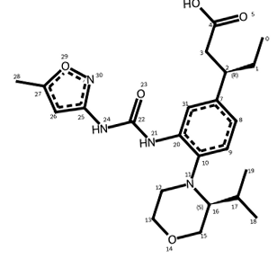 CC[C@H](CC(=O)O)c1ccc(N2CCOC[C@@H]2C(C)C)c(NC(=O)Nc2cc(C)on2)c1